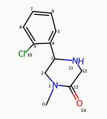 CN1CC(c2ccccc2Cl)NCC1=O